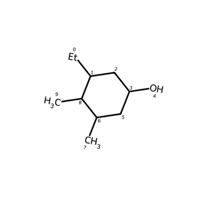 CCC1CC(O)CC(C)C1C